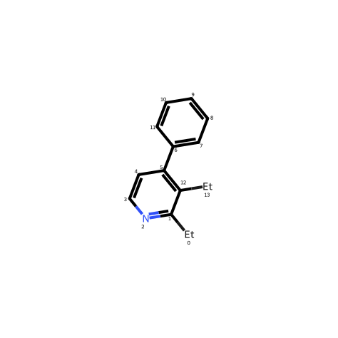 CCc1nccc(-c2ccccc2)c1CC